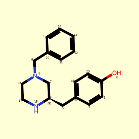 Oc1ccc(C[C@@H]2CN(Cc3ccccc3)CCN2)cc1